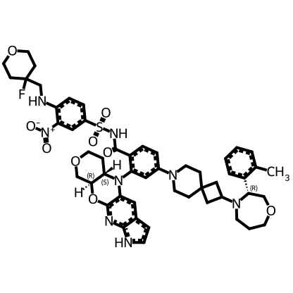 Cc1ccccc1[C@@H]1COCCCN1C1CC2(CCN(c3ccc(C(=O)NS(=O)(=O)c4ccc(NCC5(F)CCOCC5)c([N+](=O)[O-])c4)c(N4c5cc6cc[nH]c6nc5O[C@H]5COCC[C@@H]54)c3)CC2)C1